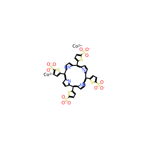 O=S(=O)([O-])c1ccc(-c2c3nc(c(-c4ccc(S(=O)(=O)[O-])s4)c4ccc([nH]4)c(-c4ccc(S(=O)(=O)[O-])s4)c4nc(c(-c5ccc(S(=O)(=O)[O-])s5)c5ccc2[nH]5)C=C4)C=C3)s1.[Co+2].[Co+2]